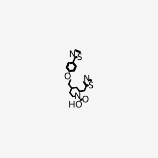 O=C(O)N1CCC(CCOc2ccc(-c3nccs3)cc2)CC1Cc1cncs1